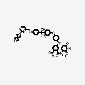 C=C(c1cc(NC2CCC(Oc3ccc(C(C)(C)c4ccc(OCc5ccnc(N6CC7(COC7)C6)n5)cc4)cc3)CC2)ccc1C=O)N(C)C1CCC(=O)NC1=O